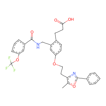 Cc1oc(-c2ccccc2)nc1CCOc1ccc(CCC(=O)O)c(CNC(=O)c2cccc(OC(F)(F)F)c2)c1